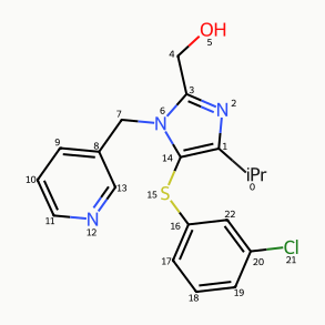 CC(C)c1nc(CO)n(Cc2cccnc2)c1Sc1cccc(Cl)c1